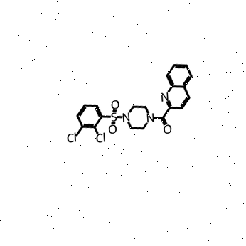 O=C(c1ccc2ccccc2n1)N1CCN(S(=O)(=O)c2cccc(Cl)c2Cl)CC1